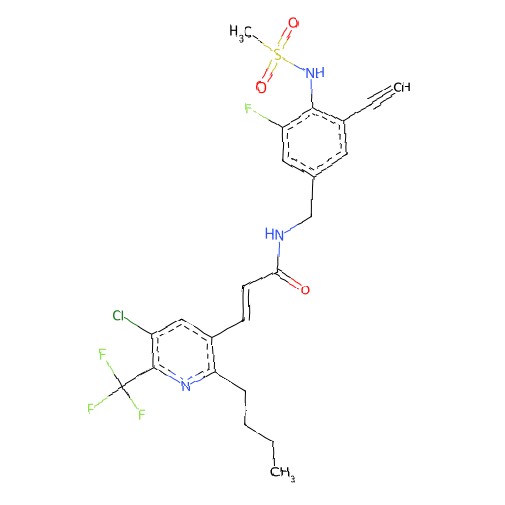 C#Cc1cc(CNC(=O)C=Cc2cc(Cl)c(C(F)(F)F)nc2CCCC)cc(F)c1NS(C)(=O)=O